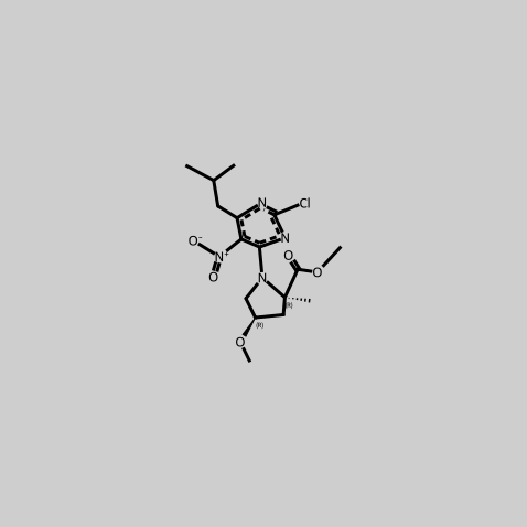 COC(=O)[C@@]1(C)C[C@@H](OC)CN1c1nc(Cl)nc(CC(C)C)c1[N+](=O)[O-]